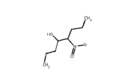 CCCC(O)C(CCC)[N+](=O)[O-]